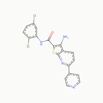 Nc1c(C(=O)Nc2cc(Cl)ccc2Cl)sc2nc(-c3ccncc3)ccc12